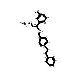 [N-]=[N+]=NC[C@H](OCc1ccc(CCc2ccccc2)cc1)c1cccc(Cl)c1